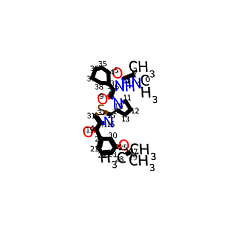 CN[C@@H](C)C(=O)N[C@H](C(=O)N1CCC[C@H]1c1nc(C(=O)c2cccc(OC(C)(C)C)c2)cs1)C1CCCCC1